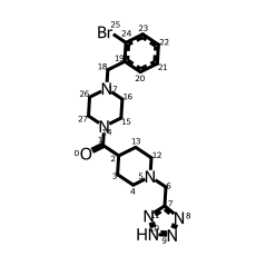 O=C(C1CCN(Cc2nn[nH]n2)CC1)N1CCN(Cc2ccccc2Br)CC1